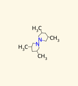 CC1CC(C)CN(N2CC(C)CC(C)C2)C1